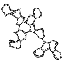 c1ccc2c(c1)ccc1c2c2ccccc2n1-c1ccc2c3c4ccccc4ccc3n(-c3nc4ccccc4nc3-c3ccc4oc5ccccc5c4c3)c2c1